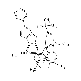 Cl.Cl.[CH2]=[Zr]([C]1=CC(C(C)(C)C)=CC1CC)([c]1ccc(C)cc1)([c]1ccc(C)cc1)[c]1c(-c2ccccc2)ccc2c1Cc1cc(-c3ccccc3)ccc1-2